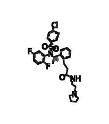 C[C@H](c1ccccc1CCC(=O)NCCN1CCCC1)N(c1cc(F)ccc1F)S(=O)(=O)c1ccc(Cl)cc1